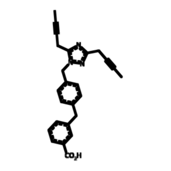 CC#CCc1nc(CC#CC)n(Cc2ccc(Cc3cccc(C(=O)O)c3)cc2)n1